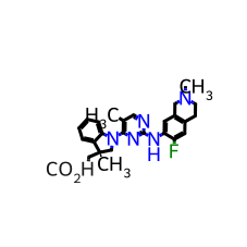 Cc1cnc(Nc2cc3c(cc2F)CCN(C)C3)nc1N1C[C@@](C)(CC(=O)O)c2ccccc21